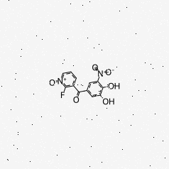 O=C(c1cc(O)c(O)c([N+](=O)[O-])c1)c1ccc[n+]([O-])c1F